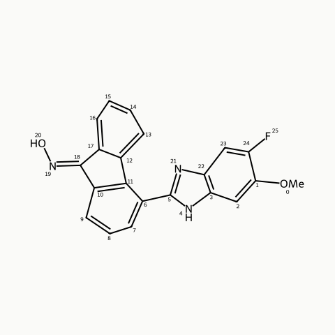 COc1cc2[nH]c(-c3cccc4c3-c3ccccc3C4=NO)nc2cc1F